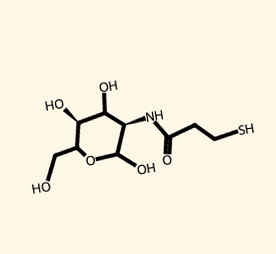 O=C(CCS)N[C@H]1C(O)OC(CO)[C@@H](O)C1O